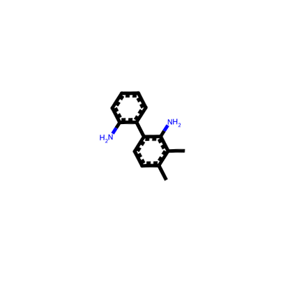 Cc1ccc(-c2ccccc2N)c(N)c1C